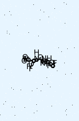 Cc1cc(Oc2c(F)cccc2F)ncc1-n1ncc(C(=O)c2cc3cc(OCC(F)F)c(C4CCN(S(C)(=O)=O)CC4)cc3[nH]2)c1N